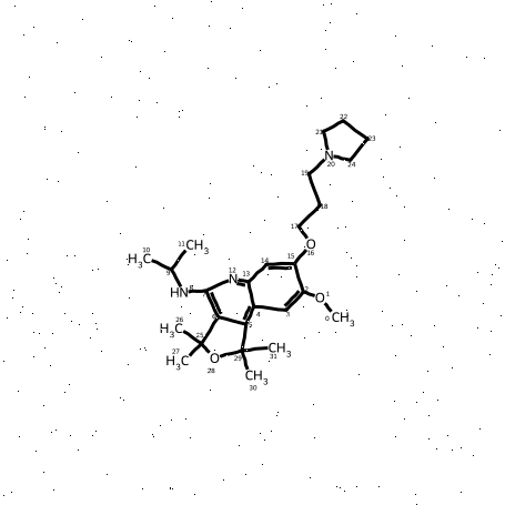 COc1cc2c3c(c(NC(C)C)nc2cc1OCCCN1CCCC1)C(C)(C)OC3(C)C